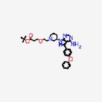 CC(C)(C)OC(=O)CCOCCN1CCC[C@@H](n2nc(-c3ccc(Oc4ccccc4)cc3)c3c(N)ncnc32)C1